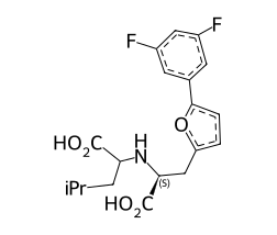 CC(C)CC(N[C@@H](Cc1ccc(-c2cc(F)cc(F)c2)o1)C(=O)O)C(=O)O